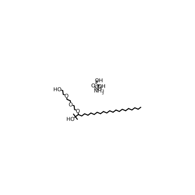 CCCCCCCCCCCCCCCCCCCCC(OCCOCCOCCO)C(C)(C)O.N.N.O=S(O)O